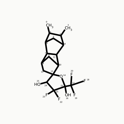 CC1C(C)C2CC1C1C3CC(C21)C1(C3)OC(O)(C(F)(F)F)C(F)(F)C1O